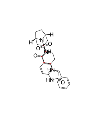 O=C1Cc2cc(C(=O)N[C@@H]3C[C@H]4CC[C@@H](C3)N4S(=O)(=O)N3CCC(NCc4ccccc4)CC3)ccc2N1